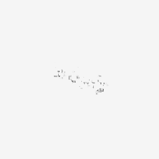 CCO[C@H]1CN(c2nc(C(=O)NC(C)C)c(C(=O)O)s2)CC[C@H]1NC(=O)c1nc(Cl)c(CC)[nH]1